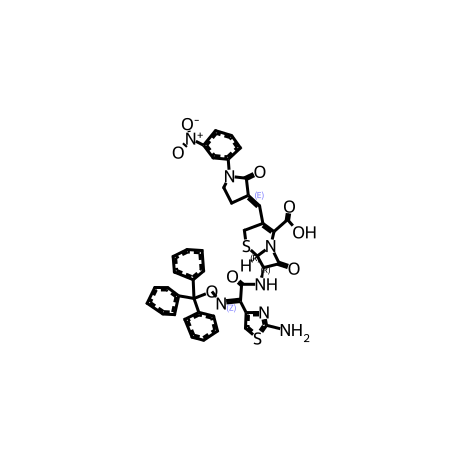 Nc1nc(/C(=N/OC(c2ccccc2)(c2ccccc2)c2ccccc2)C(=O)N[C@@H]2C(=O)N3C(C(=O)O)=C(/C=C4\CCN(c5cccc([N+](=O)[O-])c5)C4=O)CS[C@H]23)cs1